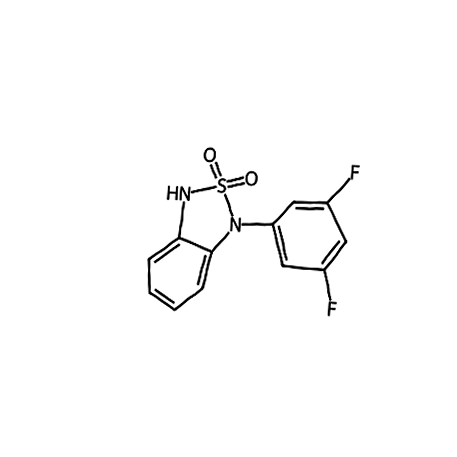 O=S1(=O)Nc2ccccc2N1c1cc(F)cc(F)c1